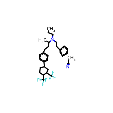 CC#N.CCCN(CCc1ccccc1)C(C)CCc1ccc(C2CCC(C(F)(F)F)C(C(F)(F)F)C2)cc1